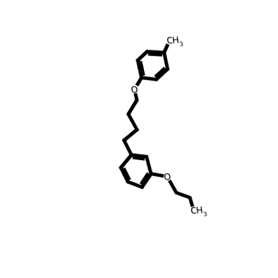 CCCOc1cccc(CCCCOc2ccc(C)cc2)c1